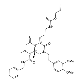 C=CCOC(=O)NCCC[C@H]1C(=O)N(CCc2ccc(OC)c(OC)c2)C[C@H]2N1C(=O)CN(C)N2C(=O)NCc1ccccc1